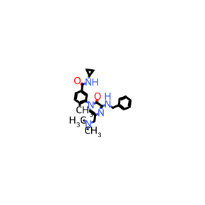 Cc1ccc(C(=O)NC2CC2)cc1-n1cc(CN(C)C)nc(NCc2ccccc2)c1=O